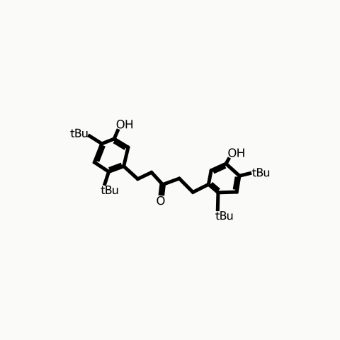 CC(C)(C)c1cc(C(C)(C)C)c(CCC(=O)CCc2cc(O)c(C(C)(C)C)cc2C(C)(C)C)cc1O